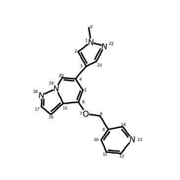 Cn1cc(-c2cc(OCc3cccnc3)c3ccnn3c2)cn1